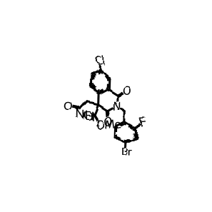 COC(=O)C1(CC(N)=O)C(=O)N(Cc2ccc(Br)cc2F)C(=O)c2cc(Cl)ccc21